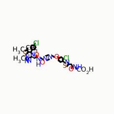 Cc1sc2c(c1C)C(c1ccc(Cl)cc1)=N[C@@H](CC(=O)NCC(=O)N1CCN(CCOc3ccc(-c4nc(CC(=O)NCC(=O)O)cs4)c(Cl)c3)CC1)c1nnc(C)n1-2